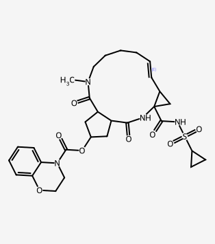 CN1CCCC/C=C/C2CC2(C(=O)NS(=O)(=O)C2CC2)NC(=O)C2CC(OC(=O)N3CCOc4ccccc43)CC2C1=O